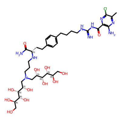 Cc1nc(N)c(C(=O)NC(=N)NCCCCc2ccc(CC[C@H](NCCCN(C[C@H](O)[C@@H](O)[C@H](O)[C@H](O)CO)C[C@H](O)[C@@H](O)[C@H](O)[C@H](O)CO)C(N)=O)cc2)nc1Cl